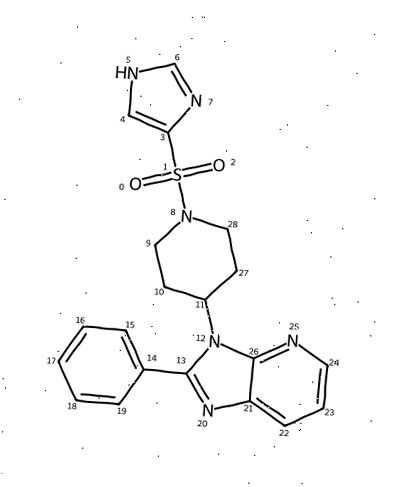 O=S(=O)(c1c[nH]cn1)N1CCC(n2c(-c3ccccc3)nc3cccnc32)CC1